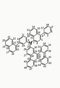 c1ccc(-c2ccc(N(c3cccc(-c4cccc5ccccc45)c3)c3ccc4c(c3)c(-c3ccccc3)c(-c3ccccc3)c3ccccc34)c3ccccc23)cc1